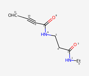 CCNC(=O)CCNC(=O)C#CC=O